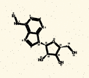 CCNc1ncnc2c1ncn2[C@@H]1O[C@H](CO)C(O)[C@@H]1O